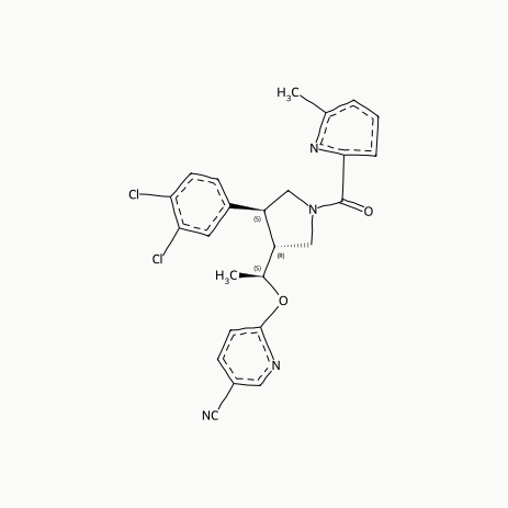 Cc1cccc(C(=O)N2C[C@H]([C@H](C)Oc3ccc(C#N)cn3)[C@@H](c3ccc(Cl)c(Cl)c3)C2)n1